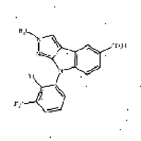 [2H]c1c(-n2c3ccc(C(=O)O)cc3c3cn(C)nc32)cccc1C(F)(F)F